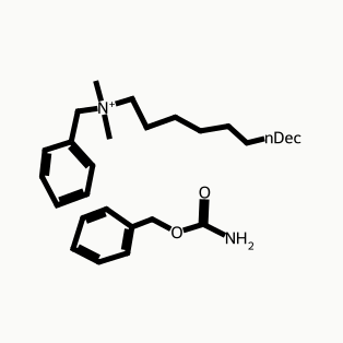 CCCCCCCCCCCCCCCC[N+](C)(C)Cc1ccccc1.NC(=O)OCc1ccccc1